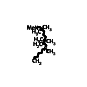 C=CCCCCN(C)CC(=C)C(C)(C)CCCC(C)(C)CNC